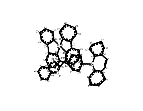 C1=Cc2ccccc2N(c2ccc(-c3cccc4c3[Si]3(c5ccccc5-4)c4ccccc4-c4cccc(-c5nc6ccccc6o5)c43)cc2)c2ccccc21